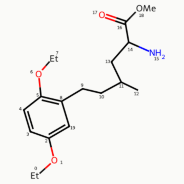 CCOc1ccc(OCC)c(CCC(C)CC(N)C(=O)OC)c1